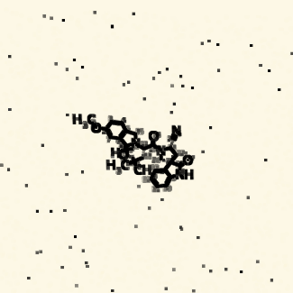 COc1ccc2c(c1)C(=O)N([C@@H](CC(C)(C)C)C(=O)N1C[C@]3(C[C@H]1C#N)C(=O)Nc1ccccc13)C2